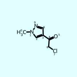 Cn1cc(C(=O)CCl)cn1